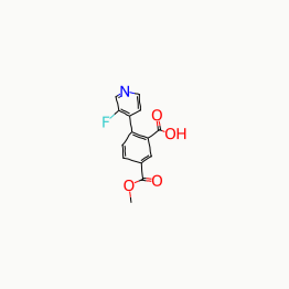 COC(=O)c1ccc(-c2ccncc2F)c(C(=O)O)c1